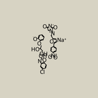 COc1ccccc1OCC(O)CO.O=C1CN(N=Cc2ccc(-c3ccc([N+](=O)[O-])cc3)o2)C(=O)[N-]1.Oc1nc2cc(Cl)ccc2o1.[Na+]